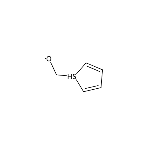 [O]C[SH]1C=CC=C1